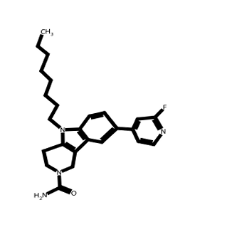 CCCCCCCCn1c2c(c3cc(-c4ccnc(F)c4)ccc31)CN(C(N)=O)CC2